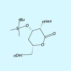 CCCCCCCCCCC[C@@H]1C[C@H](O[Si](C)(C)C(C)(C)C)[C@H](CCCCCC)C(=O)O1